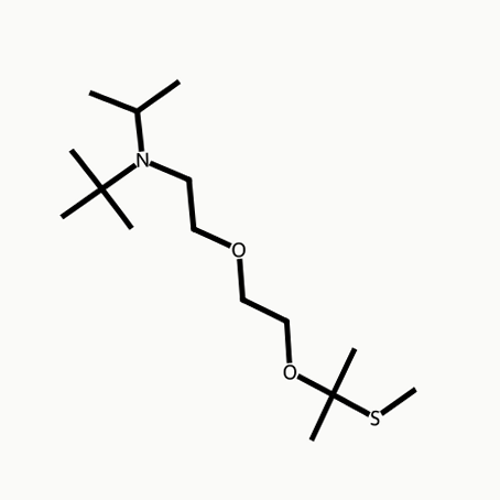 CSC(C)(C)OCCOCCN(C(C)C)C(C)(C)C